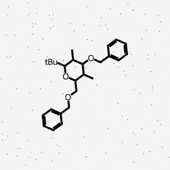 CC1C(COCc2ccccc2)OC(C(C)(C)C)C(C)C1OCc1ccccc1